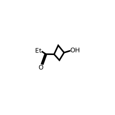 CCC(=O)C1CC(O)C1